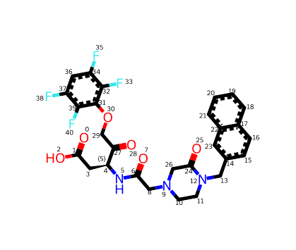 O=C(O)C[C@H](NC(=O)CN1CCN(Cc2ccc3ccccc3c2)C(=O)C1)C(=O)COc1c(F)c(F)cc(F)c1F